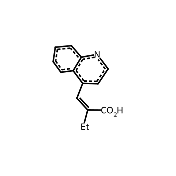 CCC(=Cc1ccnc2ccccc12)C(=O)O